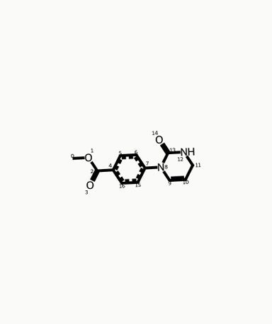 COC(=O)c1ccc(N2C=CCNC2=O)cc1